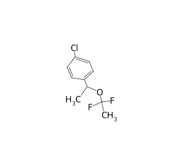 CC(OC(C)(F)F)c1ccc(Cl)cc1